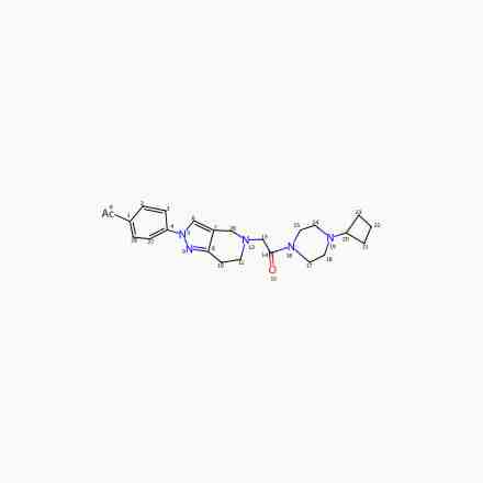 CC(=O)c1ccc(-n2cc3c(n2)CCN(CC(=O)N2CCN(C4CCC4)CC2)C3)cc1